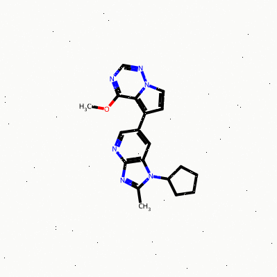 COc1ncnn2ccc(-c3cnc4nc(C)n(C5CCCC5)c4c3)c12